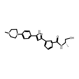 C[C@@H](CO)NC(=O)c1cccc(-c2cc(-c3ccc(N4CCN(C)CC4)cc3)[nH]n2)c1